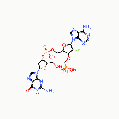 Nc1nc2c(ncn2[C@H]2CC(OP(=O)(O)OC[C@H]3O[C@@H](n4cnc5c(N)ncnc54)C(F)C3OC[PH](=O)O)[C@@H](CO)O2)c(=O)[nH]1